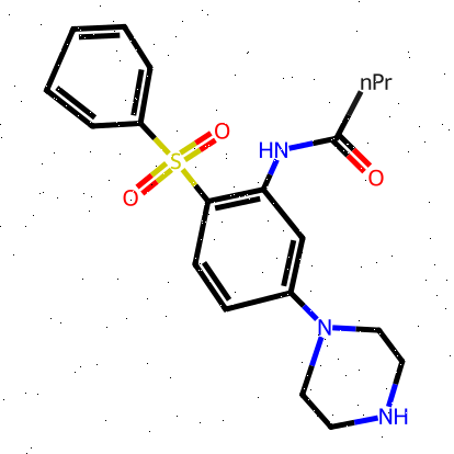 CCCC(=O)Nc1cc(N2CCNCC2)ccc1S(=O)(=O)c1ccccc1